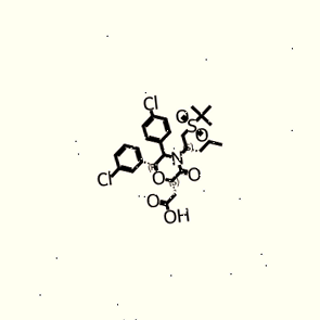 CCC[C@@H](CS(=O)(=O)C(C)(C)C)N1C(=O)[C@H](CC(=O)O)O[C@H](c2cccc(Cl)c2)C1c1ccc(Cl)cc1